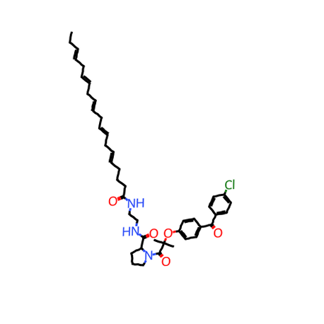 CCC=CCC=CCC=CCC=CCC=CCCCC(=O)NCCNC(=O)C1CCCN1C(=O)C(C)(C)Oc1ccc(C(=O)c2ccc(Cl)cc2)cc1